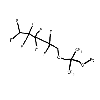 CCOC(OCC(F)(F)C(F)(F)C(F)(F)C(F)F)(C(F)(F)F)C(F)(F)F